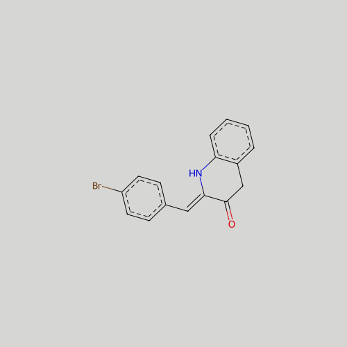 O=C1Cc2ccccc2N/C1=C\c1ccc(Br)cc1